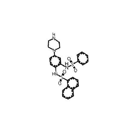 O=S(=O)(Nc1cc(N2CCNCC2)ccc1NS(=O)(=O)c1cccc2ccccc12)c1ccccc1